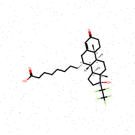 C[C@]12CCC(=O)C=C1C[C@@H](CCCCCCCC(=O)O)[C@@H]1[C@@H]2CC[C@@]2(C)[C@H]1CC[C@@]2(O)C(F)(F)C(F)(F)F